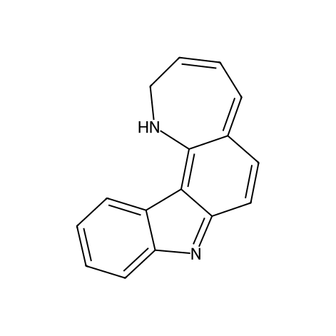 C1=CCNc2c3c(ccc2=C1)=Nc1ccccc1-3